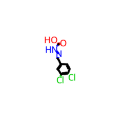 O=C(O)NN=Cc1ccc(Cl)c(Cl)c1